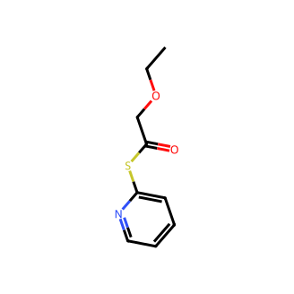 CCOCC(=O)Sc1ccccn1